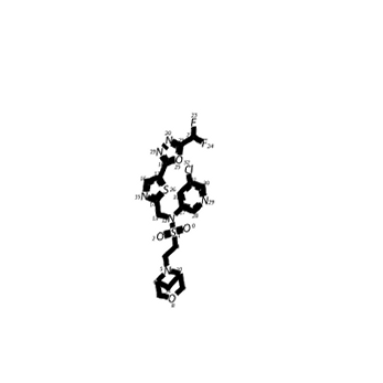 O=S(=O)(CCN1C2COCC1C2)N(Cc1ncc(-c2nnc(C(F)F)o2)s1)c1cncc(Cl)c1